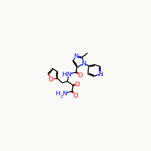 Cc1ncc(C(=O)NC(Cc2ccco2)C(=O)C(N)=O)n1-c1ccncc1